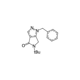 CC(C)(C)N1Cc2c(cnn2Cc2ccccc2)C1=O